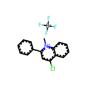 C[n+]1c(-c2ccccc2)cc(Cl)c2ccccc21.F[B-](F)(F)F